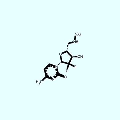 CCCCNC[C@H]1O[C@@H](n2ccc(C)nc2=O)C(F)(F)[C@@H]1O